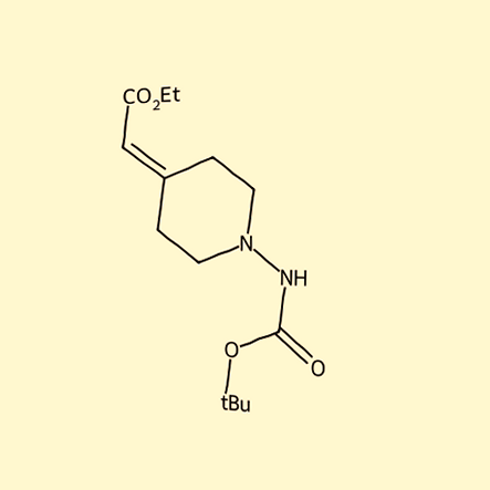 CCOC(=O)C=C1CCN(NC(=O)OC(C)(C)C)CC1